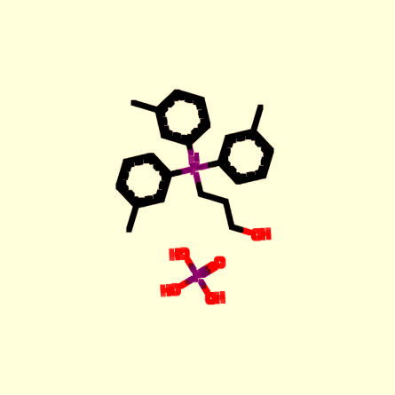 Cc1cccc([PH](CCCO)(c2cccc(C)c2)c2cccc(C)c2)c1.O=P(O)(O)O